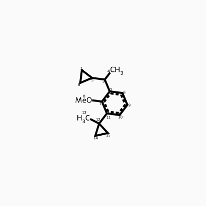 COc1c(C(C)C2CC2)cccc1C1(C)CC1